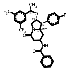 C[C@@H](O[C@H]1CN2C(=O)CC(NC(=O)c3ccccc3)C[C@H]2[C@@H]1c1ccc(F)cc1)c1cc(C(F)(F)F)cc(C(F)(F)F)c1